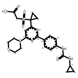 NC(=O)CS(=O)(=O)C1(c2cc(N3CCOCC3)nc(-c3ccc(NC(=O)NC4CC4)cc3)n2)CC1